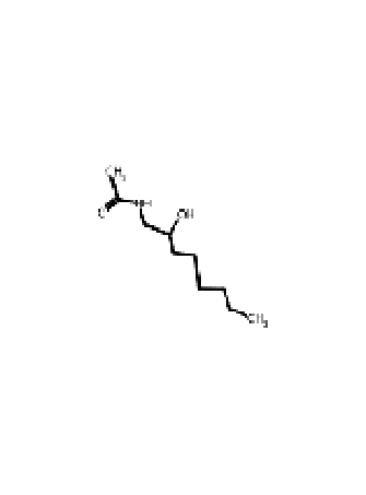 CCCCCCC(O)CNC(C)=O